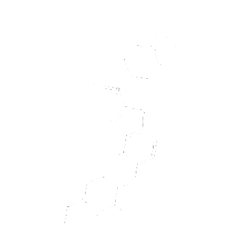 CC(C)N1CCC(Oc2ccc3[nH]c(C(=O)N4CCN(S(C)(=O)=O)CC4)cc3c2)CC1